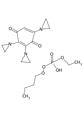 CCCCOOP(=O)(O)OCC.O=C1C=C(N2CC2)C(=O)C(N2CC2)=C1N1CC1